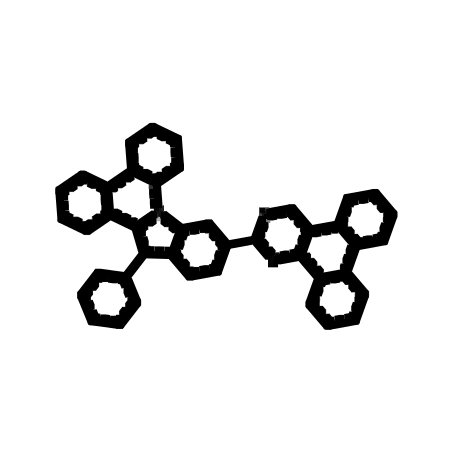 c1ccc(-c2c3ccc(-c4ncc5c6ccccc6c6ccccc6c5n4)cc3n3c4ccccc4c4ccccc4c23)cc1